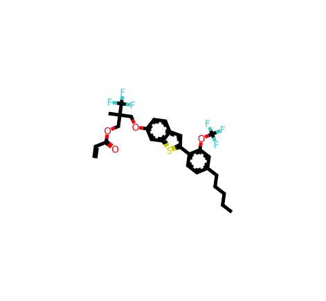 C=CC(=O)OCC(C)(COc1ccc2cc(-c3ccc(CCCCC)cc3OC(F)(F)F)sc2c1)C(F)(F)F